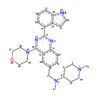 CN1CCC(N(C)Cc2ccc3nc(-c4cccc5[nH]ccc45)nc(N4CCOCC4)c3c2)CC1